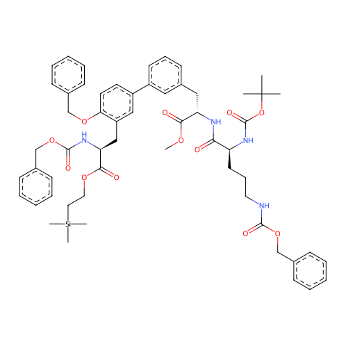 COC(=O)[C@H](Cc1cccc(-c2ccc(OCc3ccccc3)c(C[C@H](NC(=O)OCc3ccccc3)C(=O)OCC[Si](C)(C)C)c2)c1)NC(=O)[C@H](CCCNC(=O)OCc1ccccc1)NC(=O)OC(C)(C)C